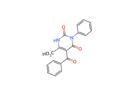 O=C(O)c1[nH]c(=O)n(-c2ccccc2)c(=O)c1C(=O)c1ccccc1